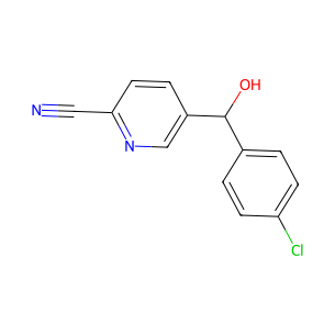 N#Cc1ccc(C(O)c2ccc(Cl)cc2)cn1